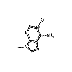 Cn1cnc2c(N)[n+]([O-])cnc21